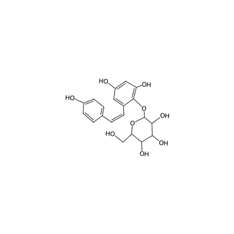 OCC1OC(Oc2c(O)cc(O)cc2C=Cc2ccc(O)cc2)C(O)C(O)C1O